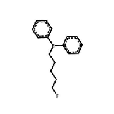 FCCCCCB(c1ccccc1)c1ccccc1